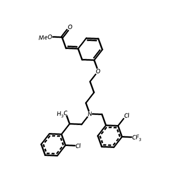 COC(=O)/C=C1\C=CC=C(OCCCN(Cc2cccc(C(F)(F)F)c2Cl)CC(C)c2ccccc2Cl)C1